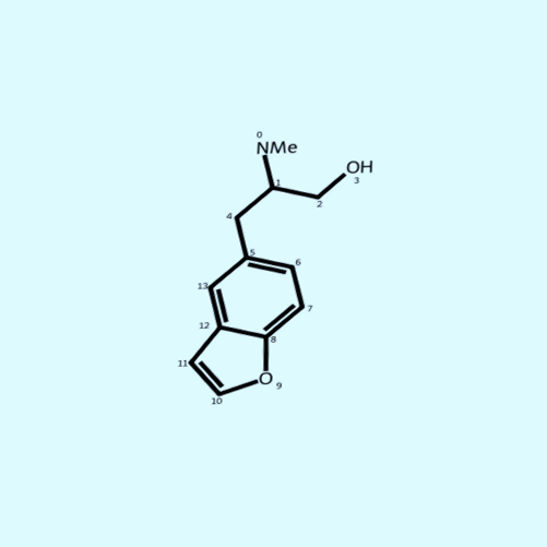 CNC(CO)Cc1ccc2occc2c1